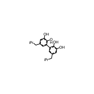 CC(C)Cc1cc(O)c(O)c(-c2cc(CC(C)C)cc(O)c2O)c1